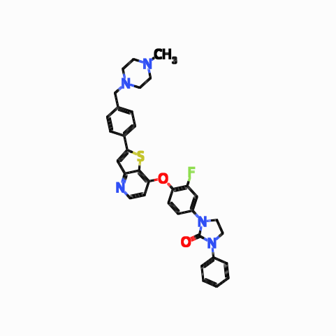 CN1CCN(Cc2ccc(-c3cc4nccc(Oc5ccc(N6CCN(c7ccccc7)C6=O)cc5F)c4s3)cc2)CC1